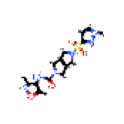 Cc1noc(C)c1NC(=O)N1CC2=C(C1)CN(S(=O)(=O)c1ccn(C)n1)C2